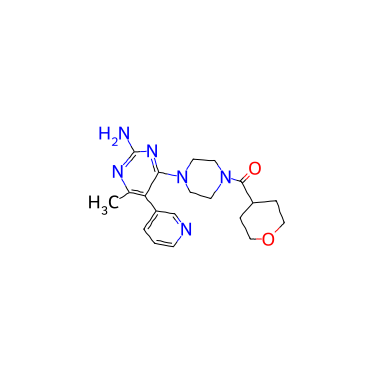 Cc1nc(N)nc(N2CCN(C(=O)C3CCOCC3)CC2)c1-c1cccnc1